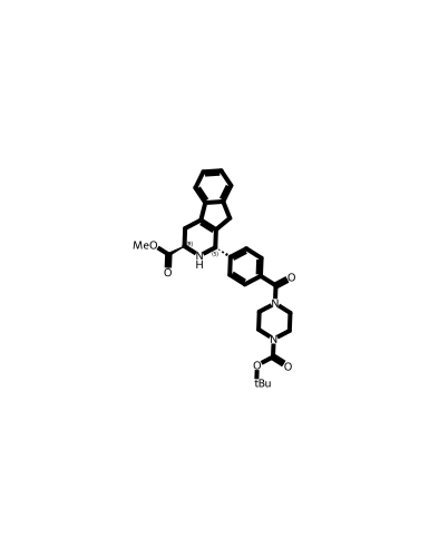 COC(=O)[C@H]1CC2=C(Cc3ccccc32)[C@H](c2ccc(C(=O)N3CCN(C(=O)OC(C)(C)C)CC3)cc2)N1